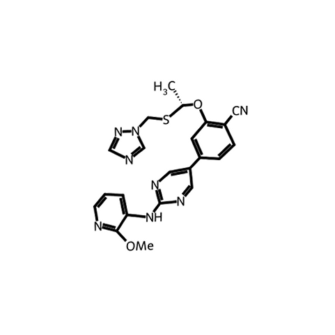 COc1ncccc1Nc1ncc(-c2ccc(C#N)c(O[C@@H](C)SCn3cncn3)c2)cn1